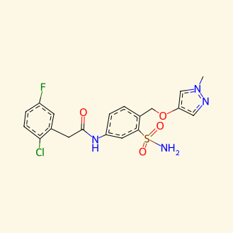 Cn1cc(OCc2ccc(NC(=O)Cc3cc(F)ccc3Cl)cc2S(N)(=O)=O)cn1